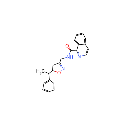 CC(c1ccccc1)C1CC(CNC(=O)c2nccc3ccccc23)=NO1